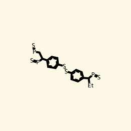 CCC(P=S)c1ccc(SSc2ccc(C(CP=S)P=S)cc2)cc1